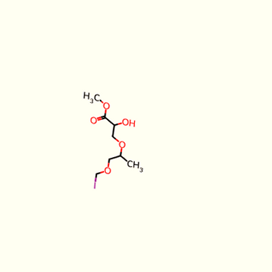 COC(=O)C(O)COC(C)COCI